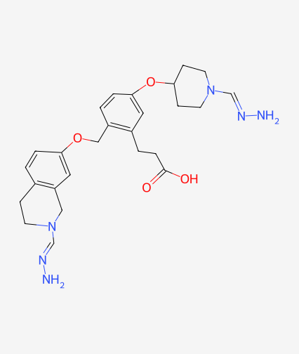 NN=CN1CCC(Oc2ccc(COc3ccc4c(c3)CN(C=NN)CC4)c(CCC(=O)O)c2)CC1